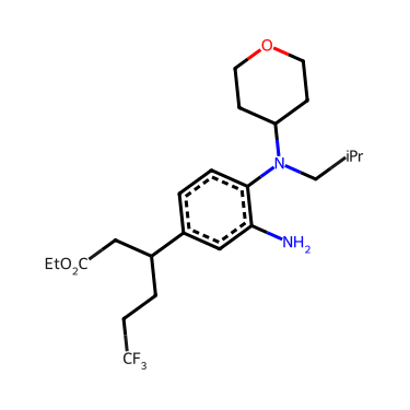 CCOC(=O)CC(CCC(F)(F)F)c1ccc(N(CC(C)C)C2CCOCC2)c(N)c1